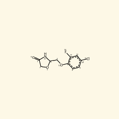 O=C1COC(COc2ccc(Cl)cc2F)N1